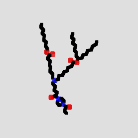 CCCCCCCCCOC(=O)CCCCCCCN(CCCCCCCC(=O)OC(CCCCCCCC)CCCCCCCC)CCCCC(=O)N1CCN(C(=O)CC)CC1